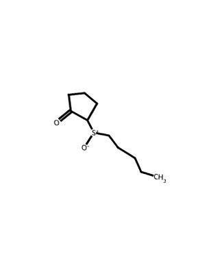 CCCCC[S+]([O-])C1CCCC1=O